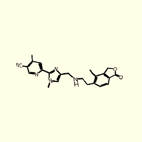 Cc1cc(-c2nc(CNCCc3ccc4c(c3C)COC4=O)cn2C)ncc1C#N